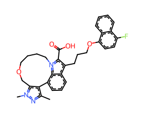 Cc1nn(C)c2c1-c1cccc3c(CCCOc4ccc(F)c5ccccc45)c(C(=O)O)n(c13)CCCCOC2